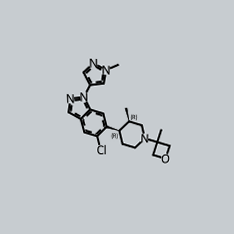 C[C@H]1CN(C2(C)COC2)CC[C@H]1c1cc2c(cnn2-c2cnn(C)c2)cc1Cl